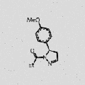 CCC(=O)N1N=CCC1c1ccc(OC)cc1